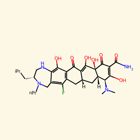 CCCN1Cc2c(F)c3c(c(O)c2NC[C@H]1CC(C)C)C(=O)C1=C(O)[C@]2(O)C(=O)C(C(N)=O)=C(O)[C@@H](N(C)C)[C@@H]2C[C@@H]1C3